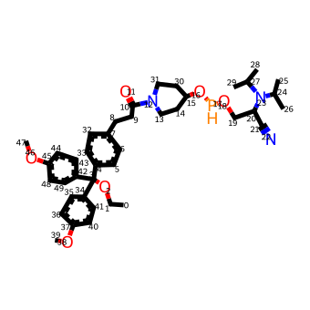 CCOC(c1ccc(CCC(=O)N2CCC(OPOCC(C#N)N(C(C)C)C(C)C)CC2)cc1)(c1ccc(OC)cc1)c1ccc(OC)cc1